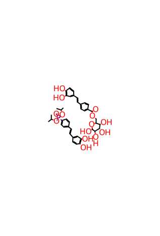 CC(C)OP(=O)(OC(C)C)c1ccc(C=Cc2ccc(O)c(O)c2)cc1.O=C(OCC1OC(O)C(O)C(O)C1O)c1ccc(C=Cc2ccc(O)c(O)c2)cc1